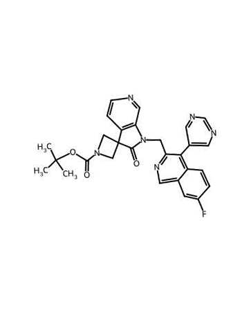 CC(C)(C)OC(=O)N1CC2(C1)C(=O)N(Cc1ncc3cc(F)ccc3c1-c1cncnc1)c1cnccc12